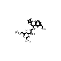 C=CC[C@H](NC(=O)COC(C)C)[C@H](O)CN[C@H]1CC2(CCC2)Oc2ncc(CC(C)(C)C)cc21